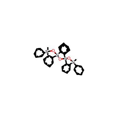 C[Si](C)(O[Si](O[Si](O[Si](C)(C)c1ccccc1)(c1ccccc1)c1ccccc1)(c1ccccc1)c1ccccc1)c1ccccc1